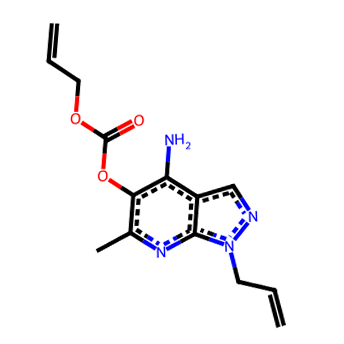 C=CCOC(=O)Oc1c(C)nc2c(cnn2CC=C)c1N